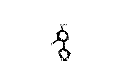 COc1cnc(-c2cnon2)c(F)c1